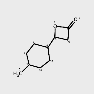 CC1CCC(C2CC(=O)O2)CC1